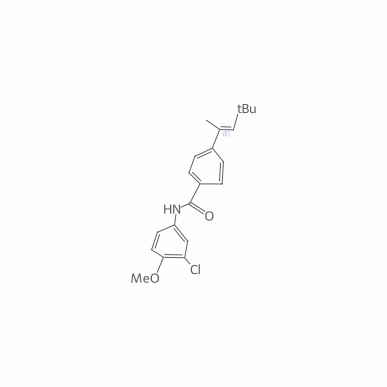 COc1ccc(NC(=O)c2ccc(/C(C)=C/C(C)(C)C)cc2)cc1Cl